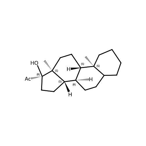 CC(=O)[C@@]1(O)CC[C@H]2[C@@H]3CCC4CCCC[C@]4(C)[C@H]3CC[C@@]21C